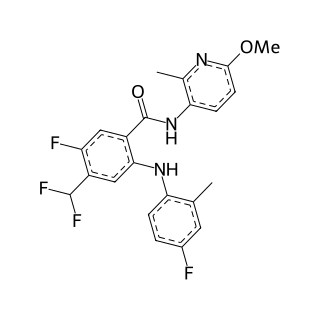 COc1ccc(NC(=O)c2cc(F)c(C(F)F)cc2Nc2ccc(F)cc2C)c(C)n1